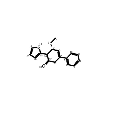 CC[C@@H]1C=C(c2ccccc2)CC(=O)C1c1cccs1